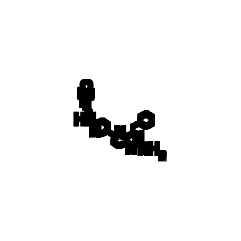 Nc1nc(Cc2ccccc2)c2nc(-c3ccc(NCCN4CCOCC4)nc3)ccc2n1